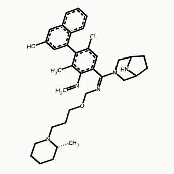 C=Nc1c(/C(=N\COCCCN2CCCC[C@H]2C)N2CC3CCC(C2)N3)cc(Cl)c(-c2cc(O)cc3ccccc23)c1C